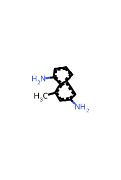 Cc1cc(N)cc2cccc(N)c12